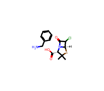 CC1(C)S[C@@H]2C(Cl)C(=O)N2[C@H]1C(=O)O.NCc1ccccc1